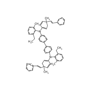 CCc1cccc(C)c1N(C1=CCC(C)(C=Cc2ccccc2)C=C1)c1ccc(-c2ccc(N(C3=CCC(C)(C=Cc4ccccc4)C=C3)c3c(C)cccc3CC)cc2)cc1